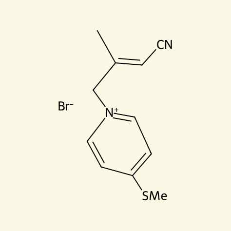 CSc1cc[n+](CC(C)=CC#N)cc1.[Br-]